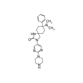 CN(C)C1(c2ccccc2)CCC2(CC1)CN(c1cnc(N3CCNCC3)nc1)C(=O)N2